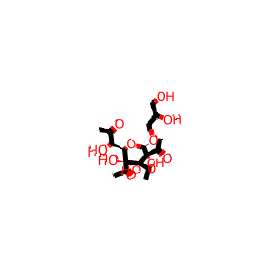 CC(=O)C(O)[C@H]1O[C@H](OCC(O)CO)[C@](O)(C(C)=O)[C@](O)(C(C)=O)[C@@]1(O)C(C)=O